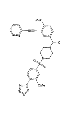 COc1ccc(C(=O)N2CCN(S(=O)(=O)c3ccc(-n4cnnn4)c(OC)c3)CC2)cc1C#Cc1ccccn1